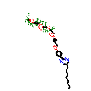 CCCCCCCCc1cnc(-c2ccc(OCCCOCC(F)(F)OC(F)(F)C(F)(F)OC(F)(F)C(F)(F)OC(F)(F)F)cc2)nc1